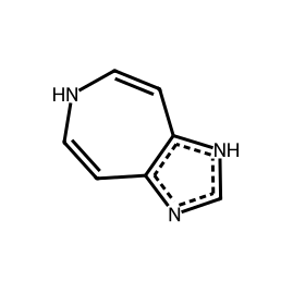 C1=Cc2nc[nH]c2C=CN1